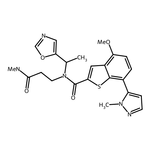 CNC(=O)CCN(C(=O)c1cc2c(OC)ccc(-c3ccnn3C)c2s1)C(C)c1cnco1